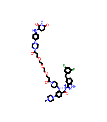 CN1CCN(c2ccc(C(=O)Nc3n[nH]c4ccc(Cc5cc(F)cc(F)c5)cc34)c(NC3CCN(C(=O)CCOCCOCCOCCC(=O)N4CCN(c5ccc(NC6CCC(=O)NC6=O)cc5)CC4)CC3)c2)CC1